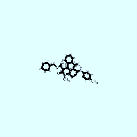 Cc1ccc(Nc2ccc3c4c2C(=O)c2ccccc2-c4c(C(=O)OCc2ccccc2)c(=O)n3C)cc1